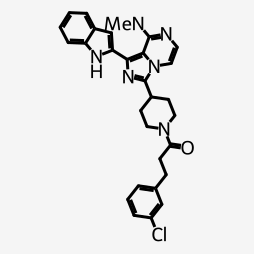 CNc1nccn2c(C3CCN(C(=O)CCc4cccc(Cl)c4)CC3)nc(-c3cc4ccccc4[nH]3)c12